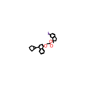 CC1(OC(=O)COc2ccc(C3C4CCCCC43)c3ccccc23)CCc2ccc(I)cc21